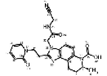 C[C@H]1CCc2c(ccc3c2nc(CCn2ccccc2=O)n3CC(=O)NCC#N)N1C(=O)O